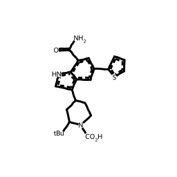 CC(C)(C)C1CC(c2c[nH]c3c(C(N)=O)cc(-c4cccs4)cc23)CCN1C(=O)O